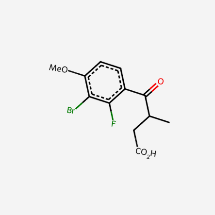 COc1ccc(C(=O)C(C)CC(=O)O)c(F)c1Br